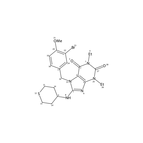 CCn1c(=O)c2c(nc(NC3CCSCC3)n2Cc2ccc(OC)c(Br)c2)n(CC)c1=O